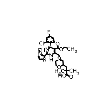 CCOC(=O)C1=C(CN2CCOC(CC(C)(C)C(=O)O)C2)NC(c2nccn2C)=N[C@H]1c1ccc(F)cc1Cl